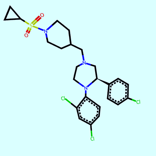 O=S(=O)(C1CC1)N1CCC(CN2CCN(c3ccc(Cl)cc3Cl)[C@H](c3ccc(Cl)cc3)C2)CC1